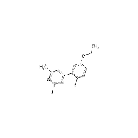 CCOc1ccc(F)c(-c2cc(C)nc(I)n2)c1